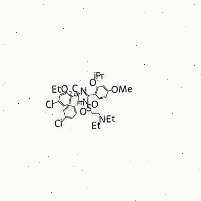 CCOC(=O)[C@@]1(c2ccc(Cl)cc2)N=C(c2ccc(OC)cc2OC(C)C)N(S(=O)(=O)CCN(CC)CC)[C@@H]1c1ccc(Cl)cc1